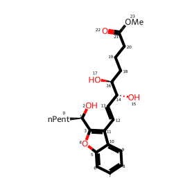 CCCCC[C@@H](O)c1oc2ccccc2c1/C=C/[C@@H](O)[C@@H](O)CCCC(=O)OC